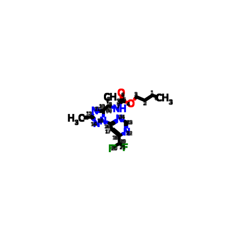 CCCCOC(=O)N[C@@H](C)c1nc(C)nn1-c1cc(C(F)F)ncn1